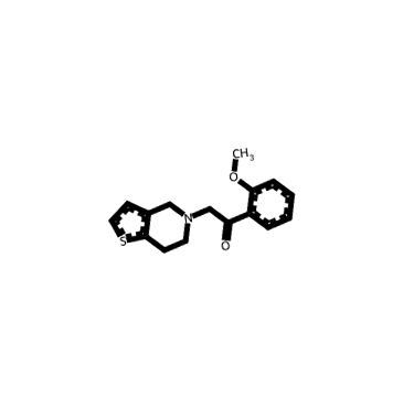 COc1ccccc1C(=O)CN1CCc2sccc2C1